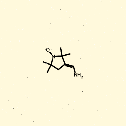 CC1(C)CC(=CN)C(C)(C)N1[O]